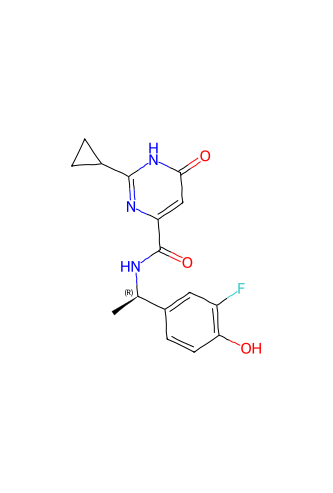 C[C@@H](NC(=O)c1cc(=O)[nH]c(C2CC2)n1)c1ccc(O)c(F)c1